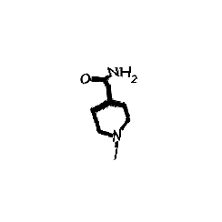 NC(=O)C1CCN(I)CC1